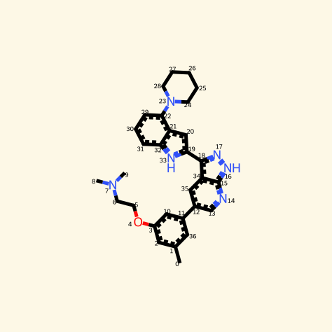 Cc1cc(OCCN(C)C)cc(-c2cnc3[nH]nc(-c4cc5c(N6CCCCC6)cccc5[nH]4)c3c2)c1